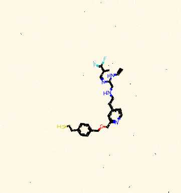 C=CNC(CNCCc1ccnc(COCc2ccc(CCS)cc2)c1)/N=C\C(C)C(F)F